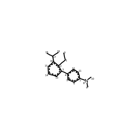 CCc1c(-c2ccc(N(C)C)cc2)cccc1C(C)C